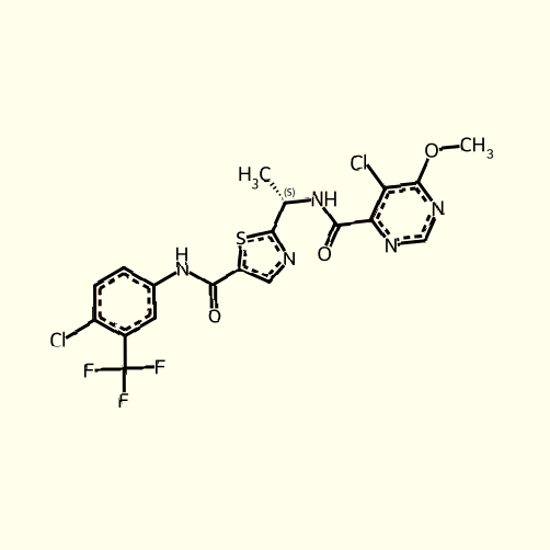 COc1ncnc(C(=O)N[C@@H](C)c2ncc(C(=O)Nc3ccc(Cl)c(C(F)(F)F)c3)s2)c1Cl